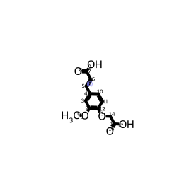 COc1cc(/C=C/C(=O)O)ccc1OCC(=O)O